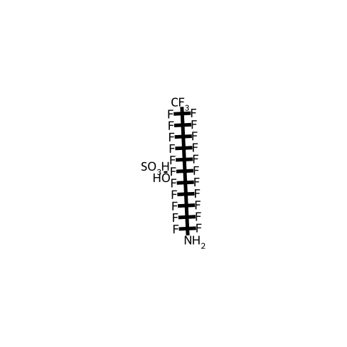 NC(F)(F)C(F)(F)C(F)(F)C(F)(F)C(F)(F)C(F)(F)C(F)(F)C(F)(F)C(F)(F)C(F)(F)C(F)(F)C(F)(F)F.O=S(=O)(O)O